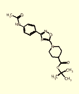 CC(=O)Nc1ccc(-c2noc(N3CCC(C(=O)OC(C)(C)C)CC3)n2)cc1